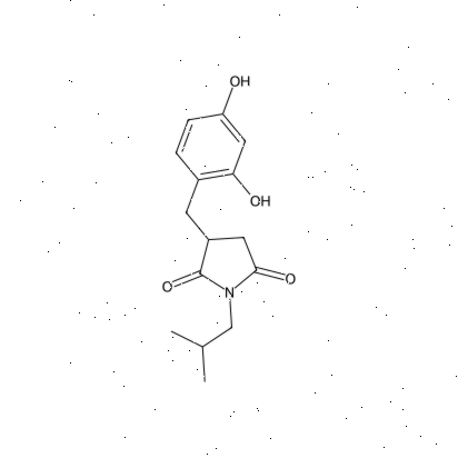 CC(C)CN1C(=O)CC(Cc2ccc(O)cc2O)C1=O